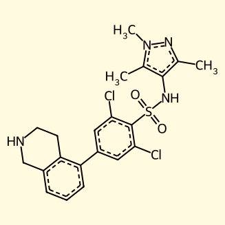 Cc1nn(C)c(C)c1NS(=O)(=O)c1c(Cl)cc(-c2cccc3c2CCNC3)cc1Cl